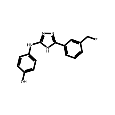 Oc1ccc(Nc2nnc(-c3cccc(CF)c3)[nH]2)cc1